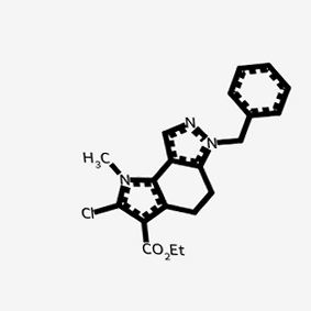 CCOC(=O)c1c2c(n(C)c1Cl)-c1cnn(Cc3ccccc3)c1CC2